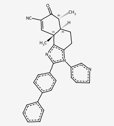 C[C@H]1C(=O)C(C#N)=C[C@@]2(C)c3nc(-c4ccc(-c5ccccc5)cc4)n(-c4cccnc4)c3CC[C@H]12